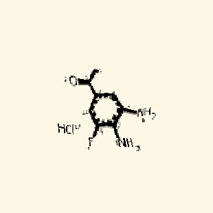 CC(=O)c1cc(N)c(N)c(F)c1.Cl